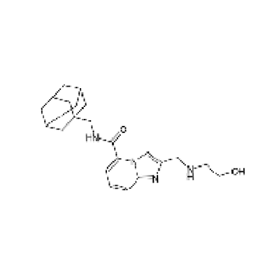 O=C(NCC12CC3CC(CC(C3)C1)C2)c1cccc2nc(CNCCO)cn12